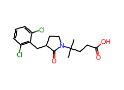 CC(C)(CCC(=O)O)N1CCC(Cc2c(Cl)cccc2Cl)C1=O